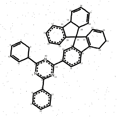 C1=CCC(c2nc(-c3ccccc3)nc(-c3ccc4c(c3)C3(C5=C4CCC=C5)c4ccccc4C4C=CC=CC43)n2)C=C1